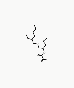 C=C(C)C(=O)OC(COC)COCC(CC)CCCC